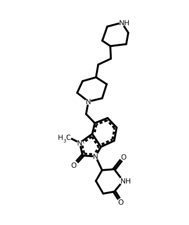 Cn1c(=O)n(C2CCC(=O)NC2=O)c2cccc(CN3CCC(CCC4CCNCC4)CC3)c21